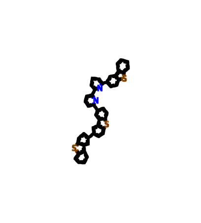 c1cc(-c2ccc3sc4ccccc4c3c2)nc(-c2cccc(-c3ccc4sc5ccc(-c6ccc7sc8ccccc8c7c6)cc5c4c3)n2)c1